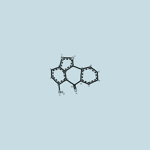 Nc1ccc2noc3c2c1C(=O)c1ccccc1-3